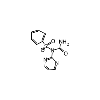 NC(=O)N(c1ncccn1)S(=O)(=O)c1ccccc1